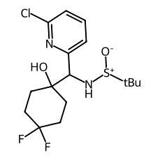 CC(C)(C)[S+]([O-])NC(c1cccc(Cl)n1)C1(O)CCC(F)(F)CC1